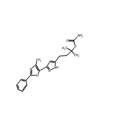 Cc1nc(-c2ccccc2)oc1-c1cc(CCC(C)(C)OC(N)=O)[nH]n1